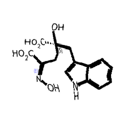 O=C(O)/C(C[C@@](O)(Cc1c[nH]c2ccccc12)C(=O)O)=N/O